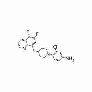 Nc1ccc(N2CCC(Cc3cc(F)c(F)c4cccnc34)CC2)c(Cl)c1